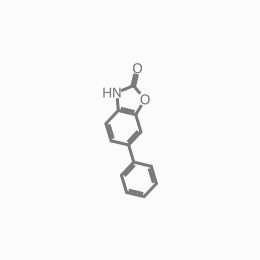 O=c1[nH]c2ccc(-c3ccccc3)cc2o1